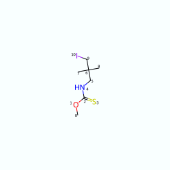 COC(=S)NCC(C)(C)CI